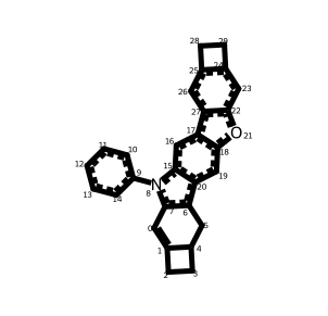 C1=C2CCC2Cc2c1n(-c1ccccc1)c1cc3c(cc21)oc1cc2c(cc13)CC2